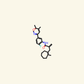 C=C(CC1=C(C)CCCCC1)C(=O)Nc1cc(C(/C=C(/C)C(C)=O)=N/C)ccc1F